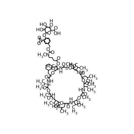 CC(C)C[C@H]1OC(=O)C(C(C)C)NC(=O)[C@H](C)OC(=O)C(C(C)C)NC(=O)[C@@H](CC(C)C)OC(=O)C(C(C)C)NC(=O)[C@H](C)OC(=O)[C@@H](C(C)C)NC(=O)[C@@H](CC2CCCCC2)OC(=O)[C@H]([C@@H](C)OC(=O)CCCN(C)C(=O)OCc2ccc(O[C@@H]3O[C@H](C(=O)O)[C@@H](O)[C@H](O)[C@H]3O)c([N+](=O)[O-])c2)NC(=O)[C@H](C)OC(=O)[C@@H](C(C)C)NC1=O